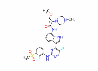 COC[C@H](C(=O)Nc1cccc2c(-c3nc(Nc4cccc(S(C)(=O)=O)c4F)ncc3F)c[nH]c12)N1CCN(C)CC1